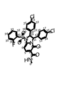 CNC(=O)c1ccc2n(c1=O)C(c1ccc(Cl)cc1)C(c1ccc(Cl)cc1)N2S(=O)(=O)c1ccccc1F